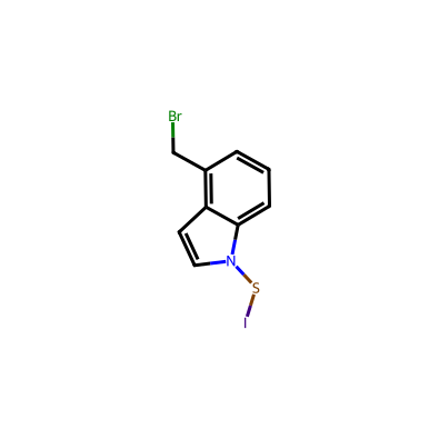 BrCc1cccc2c1ccn2SI